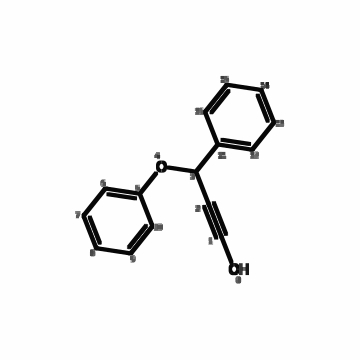 OC#CC(Oc1ccccc1)c1ccccc1